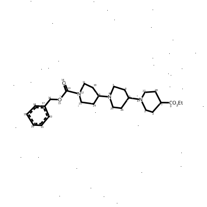 CCOC(=O)C1CCN(C2CCN(C3CCN(C(=O)OCc4ccccc4)CC3)CC2)CC1